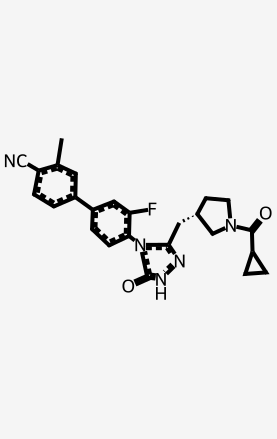 Cc1cc(-c2ccc(-n3c(C[C@@H]4CCN(C(=O)C5CC5)C4)n[nH]c3=O)c(F)c2)ccc1C#N